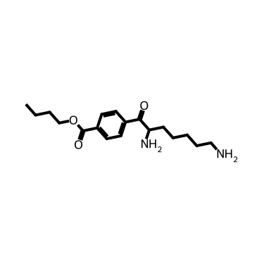 CCCCOC(=O)c1ccc(C(=O)C(N)CCCCCN)cc1